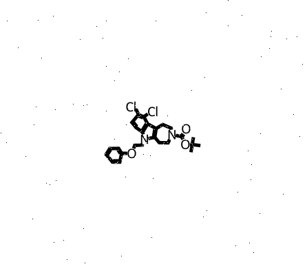 CC(C)(C)OC(=O)N1CCc2c(n(CCOc3ccccc3)c3ccc(Cl)c(Cl)c23)CC1